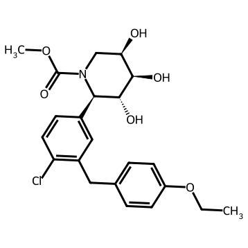 CCOc1ccc(Cc2cc([C@@H]3[C@@H](O)[C@H](O)[C@H](O)CN3C(=O)OC)ccc2Cl)cc1